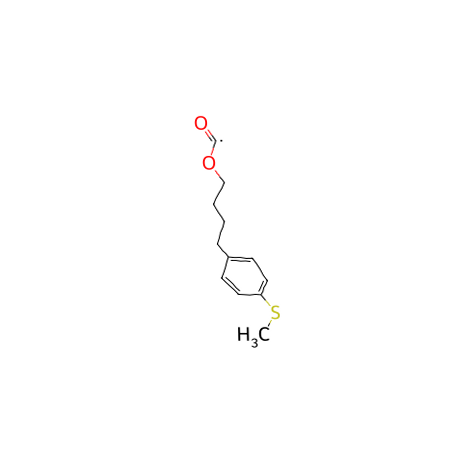 CSc1ccc(CCCCO[C]=O)cc1